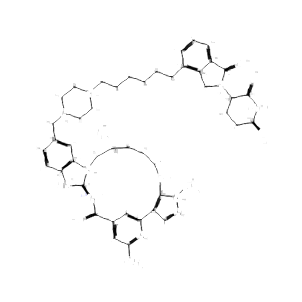 Cc1cc2cc(n1)-c1cnn(C)c1OCCC[C@@H](C)CN1/C(=N/C2=O)Nc2ccc(CN3CCN(CCCCCCc4cccc5c4CN(C4CCC(=O)NC4=O)C5=O)CC3)cc21